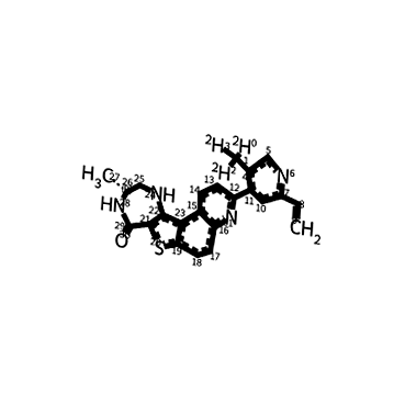 [2H]C([2H])([2H])c1cnc(C=C)cc1-c1ccc2c(ccc3sc4c(c32)NC[C@@H](C)NC4=O)n1